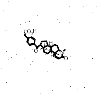 CN1C(=O)C=C[C@@]2(C)C1CC[C@@H]1[C@H]2CC[C@]2(C)C(C(=O)c3ccc(CC(=O)O)cc3)CC[C@@H]12